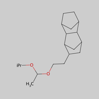 CC(C)OC(C)OCCC1CC2CC1C1C3CCC(C3)C21